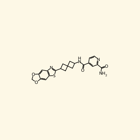 NC(=O)c1cc(C(=O)NC2CC3(C2)CC(c2nc4cc5c(cc4s2)OCO5)C3)ccn1